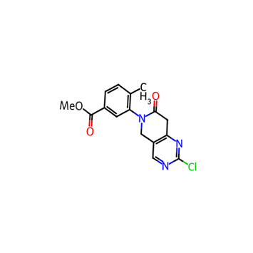 COC(=O)c1ccc(C)c(N2Cc3cnc(Cl)nc3CC2=O)c1